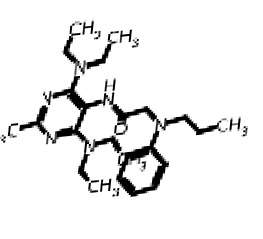 CCCN(CC(=O)Nc1c(N(CC)CC)nc(C)nc1N(CC)CC)c1ccccc1